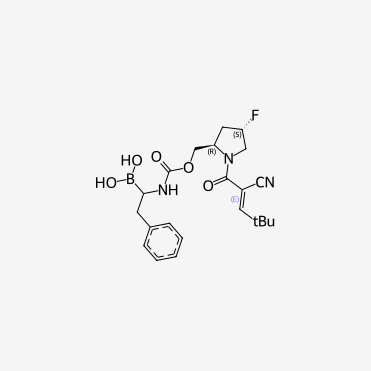 CC(C)(C)/C=C(\C#N)C(=O)N1C[C@@H](F)C[C@@H]1COC(=O)NC(Cc1ccccc1)B(O)O